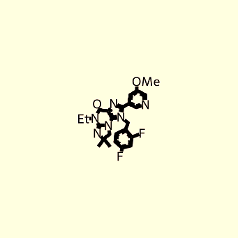 CCN1C(=O)c2nc(-c3cncc(OC)c3)n(Cc3ccc(F)cc3F)c2N2CC(C)(C)N=C12